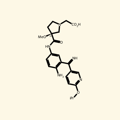 CO[C@@]1(C(=O)Nc2ccc(N)c(C(=N)c3ccc(OC(C)C)nc3)c2)CCN(CC(=O)O)C1